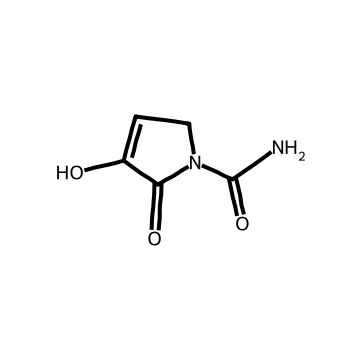 NC(=O)N1CC=C(O)C1=O